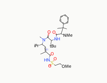 CNC(C(=O)NC(C(=O)N(C)C(/C=C(\C)C(=O)NS(=O)(=O)CCOC)C(C)C)C(C)(C)C)C(C)(C)c1ccccc1